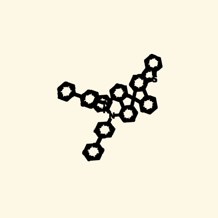 c1ccc(-c2ccc(Nc3cccc4c3-c3c(N(c5ccccc5)c5ccc(-c6ccccc6)cc5)cccc3C43c4ccccc4-c4c3ccc3c4sc4ccccc43)cc2)cc1